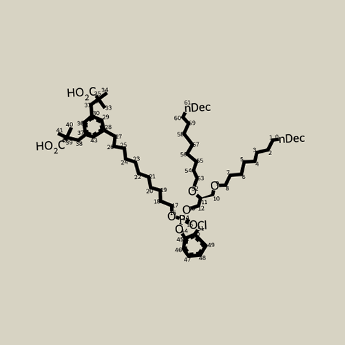 CCCCCCCCCCCCCCCCCCOC[C@@H](COP(=O)(OCCCCCCCCCCCc1cc(CC(C)(C)C(=O)O)cc(CC(C)(C)C(=O)O)c1)Oc1ccccc1Cl)OCCCCCCCCCCCCCCCCCC